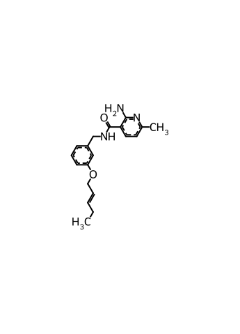 CCC=CCOc1cccc(CNC(=O)c2ccc(C)nc2N)c1